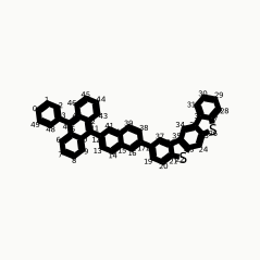 c1ccc(-c2c3ccccc3c(-c3ccc4cc(-c5ccc6sc7cc8sc9ccccc9c8cc7c6c5)ccc4c3)c3ccccc23)cc1